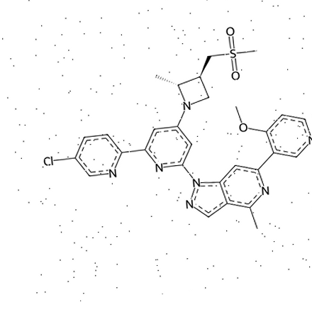 COc1ccncc1-c1cc2c(cnn2-c2cc(N3C[C@H](CS(C)(=O)=O)[C@H]3C)cc(-c3ccc(Cl)cn3)n2)c(C)n1